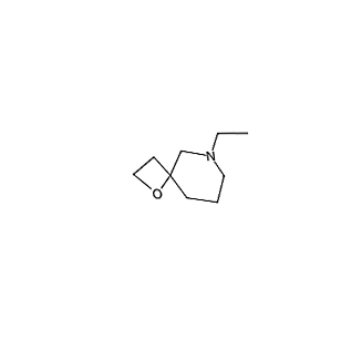 CCN1CCCC2(CCO2)C1